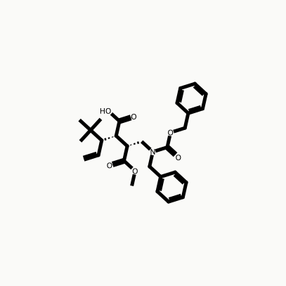 C=CC([C@H](C(=O)O)[C@H](CN(Cc1ccccc1)C(=O)OCc1ccccc1)C(=O)OC)C(C)(C)C